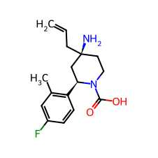 C=CC[C@]1(N)CCN(C(=O)O)[C@@H](c2ccc(F)cc2C)C1